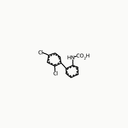 O=C(O)Nc1ccccc1-c1ccc(Cl)cc1Cl